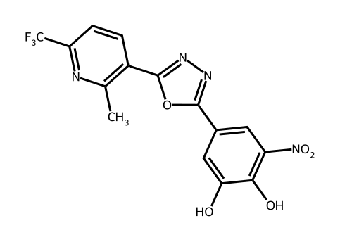 Cc1nc(C(F)(F)F)ccc1-c1nnc(-c2cc(O)c(O)c([N+](=O)[O-])c2)o1